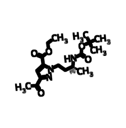 CCOC(=O)c1cc(C(C)=O)nn1CC[C@@H](C)NC(=O)OC(C)(C)C